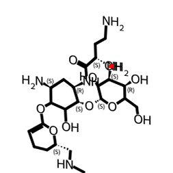 CNC[C@@H]1CCC=C(OC2C(O)[C@@H](O[C@H]3OC(CO)[C@H](O)[C@H](N)C3O)[C@H](NC(=O)[C@@H](O)CCN)C[C@@H]2N)O1